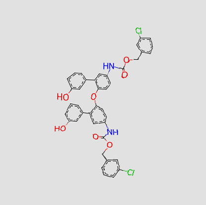 O=C(Nc1ccc(Oc2ccc(NC(=O)OCc3cccc(Cl)c3)cc2-c2cccc(O)c2)c(-c2cccc(O)c2)c1)OCc1cccc(Cl)c1